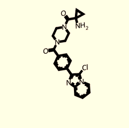 NC1(C(=O)N2CCN(C(=O)c3ccc(-c4nc5ccccn5c4Cl)cc3)CC2)CC1